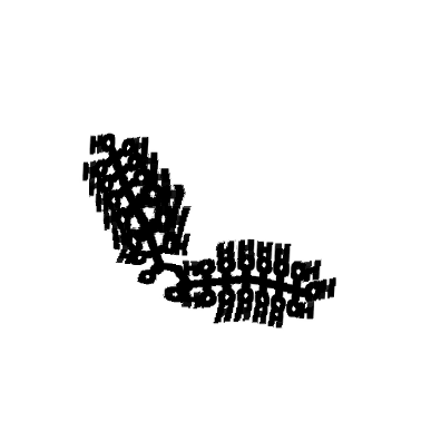 O=C(CC(=O)C(O)(O)C(O)(O)C(O)(O)C(O)(O)C(O)(O)C(O)(O)O)C(O)(O)C(O)(O)C(O)(O)C(O)(O)C(O)(O)C(O)(O)O